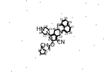 CN1CCC[C@H]1CCOc1nc(N2CCNCC2)c2c(c1C#N)CN(c1cccc3cccc(F)c13)CC2